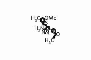 CC#CC(=O)N1CC[C@@H](c2cc(-c3cc4cc(C)cc(OC)c4s3)c3c(N)ncnn23)C1